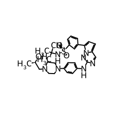 C[C@@H](O)CN1CCN(c2ccc(Nc3ncc4ccc(-c5cccc(S(=O)(=O)NC(C)(C)C)c5)n4n3)cc2)CC1